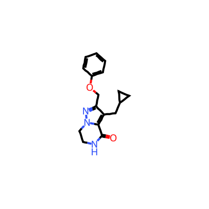 O=C1NCCn2nc(COc3ccccc3)c(CC3CC3)c21